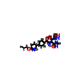 CCCOc1ccc(-c2ccc(C(=O)N(C)C(C(=O)NC)C(=O)NO)cc2)cn1